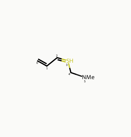 C=C/C=[SH]\CNC